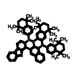 CC1(C)CCC(C)(C)c2cc(N3B4c5cc6c(cc5N(c5ccc7c(c5)C(C)(C)CCC7(C)C)c5c4c(cc4ccccc54)-c4c3ccc3c4sc4ccccc43)C(C)(C)CCC6(C)C)ccc21